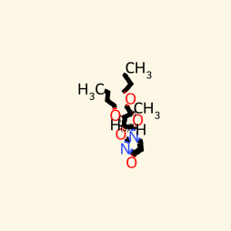 CCCCOC[C@@]1(C)O[C@@H]2[C@@H](Oc3nc(=O)ccn32)[C@@H]1OCCCC